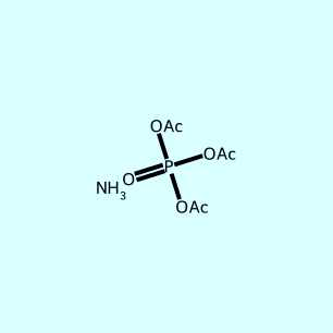 CC(=O)OP(=O)(OC(C)=O)OC(C)=O.N